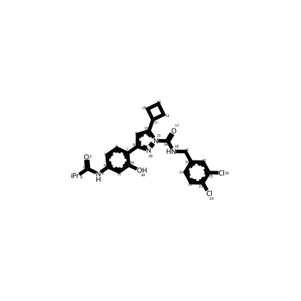 CC(C)C(=O)Nc1ccc(-c2cc(C3CCC3)n(C(=O)NCc3ccc(Cl)c(Cl)c3)n2)c(O)c1